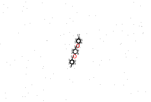 Cc1ccc(COC2CCC(COc3ccc(C)cc3)CC2)cc1